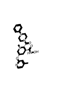 Cc1ccnc(O[C@H]2C[C@H](C(=O)NO)[C@@H](C(=O)N3CCN(c4ccccc4)CC3)N(C)C2)c1